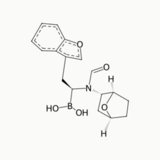 O=CN([C@H](Cc1coc2ccccc12)B(O)O)[C@H]1C[C@@H]2CC[C@H]1O2